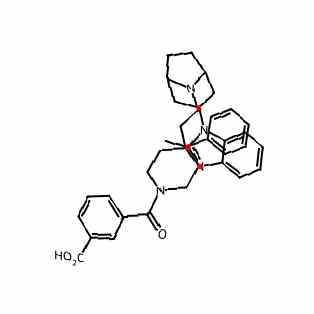 Cc1nc2ccccc2n1C1CC2CCC(C1)N2CCC1(c2ccccc2)CCN(C(=O)c2cccc(C(=O)O)c2)CC1